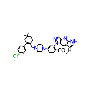 CC1(C)CCC(CN2CCN(c3ccc(C(=O)O)c(-n4ncc5nc6[nH]ccc6cc54)c3)CC2)=C(c2ccc(Cl)cc2)C1